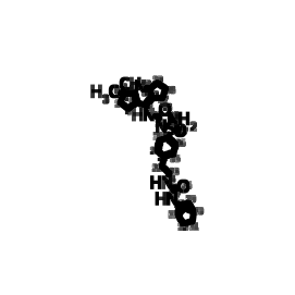 CC1(C)CCc2c1nc1c(c2NC(=O)N=S(N)(=O)c2ccc(CCNC(=O)NC3CC4CCC3C4)cc2)CCC1